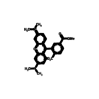 COC(=O)c1ccc(C(=O)O)c(-c2c3ccc(=[N+](C)C)cc-3oc3cc(N(C)C)ccc23)c1